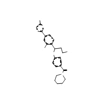 Cc1cc(-c2ncc(C(C)C)o2)ccc1C(CCC(F)(F)F)Nc1ccc(C(=O)N2CCC[C@@H](C(=O)O)C2)cc1